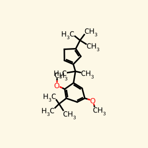 COc1cc(C(C)(C)C)c(OC)c(C(C)(C)C2=CCC(C(C)(C)C)=C2)c1